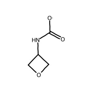 [O]C(=O)NC1COC1